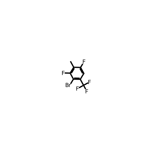 Cc1c(F)cc(C(F)(F)F)c(Br)c1F